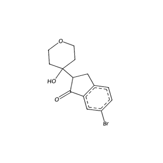 O=C1c2cc(Br)ccc2CC1C1(O)CCOCC1